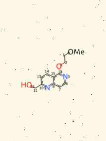 COCCOc1nccc2nc(CO)ccc12